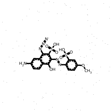 COc1ccc(N=Nc2c(S(=O)(=O)O)c(N=[N+]=[N-])c3cc(N)ccc3c2O)c(S(=O)(=O)O)c1